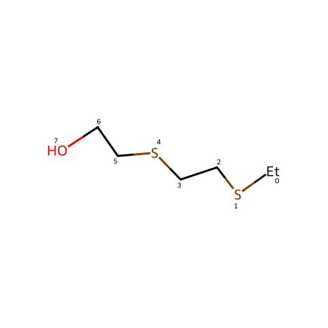 CCSCCSCCO